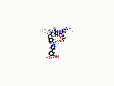 CC(C)(O/N=C(\C(=O)N[C@@H]1C(=O)N2C(C(=O)O)=C(/C=C\c3ccc(C[n+]4ccc(-c5ccc(O)c(O)c5)cc4)cc3)CS[C@H]12)c1csc(N)n1)C(=O)O